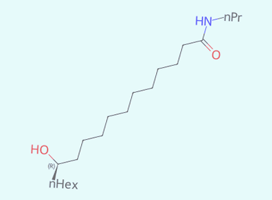 CCCCCC[C@@H](O)CCCCCCCCCCC(=O)NCCC